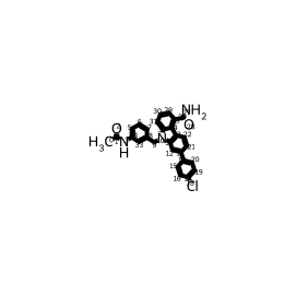 CC(=O)Nc1cccc(Cn2c3cc(-c4ccc(Cl)cc4)c[c]c3c3c(C(N)=O)cccc32)c1